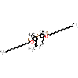 CCCCCCCCCCCCCCC(=S)Oc1cc(C)c(Sc2cc(CCCC)c(OC(=S)CCCCCCCCCCCCCC)cc2C)cc1CCCC